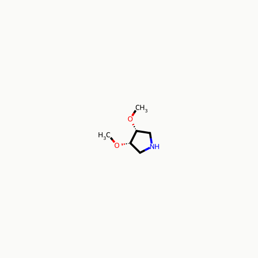 CO[C@H]1CNC[C@H]1OC